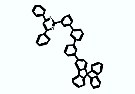 c1ccc(-c2cc(-c3ccccc3)nc(-c3cccc(-c4cccc(-c5cccc(-c6ccc7c(c6)-c6ccccc6C7(c6ccccc6)c6ccccc6)c5)c4)c3)n2)cc1